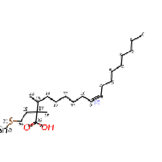 CCCCCCCC/C=C\CCCCCC(C)C(C)(CC[S][Sn])C(=O)O